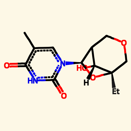 CC[C@@]12COCC([C@H](n3cc(C)c(=O)[nH]c3=O)O1)[C@H]2O